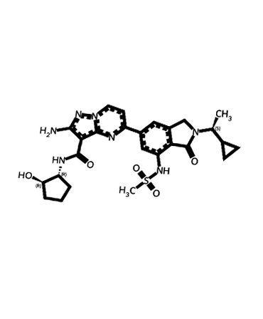 C[C@@H](C1CC1)N1Cc2cc(-c3ccn4nc(N)c(C(=O)N[C@@H]5CCC[C@H]5O)c4n3)cc(NS(C)(=O)=O)c2C1=O